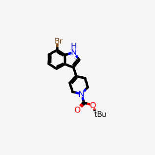 CC(C)(C)OC(=O)N1CC=C(c2c[nH]c3c(Br)cccc23)CC1